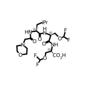 CC(C)C[C@H](NC(=O)CN1CCOCC1)C(=O)N[C@@H](COC(F)F)C(=O)N[C@@H](COC(F)F)C(=O)O